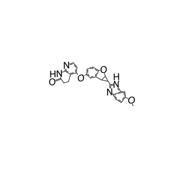 COc1ccc2nc(C3C4Oc5ccc(Oc6ccnc7c6CCC(=O)N7)cc5C43)[nH]c2c1